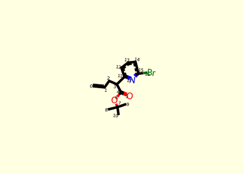 C=CCC(C(=O)OC(C)(C)C)c1cccc(Br)n1